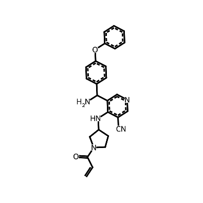 C=CC(=O)N1CCC(Nc2c(C#N)cncc2C(N)c2ccc(Oc3ccccc3)cc2)C1